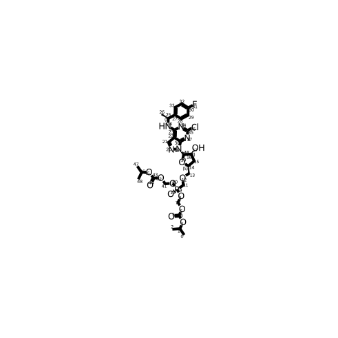 CC(C)OC(=O)OCOP(=O)(COC[C@@H]1C[C@@H](O)[C@H](n2ncc3c(N[C@@H](C)c4ccc(F)cc4)nc(Cl)nc32)O1)OCOC(=O)OC(C)C